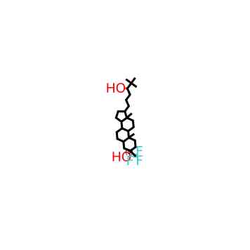 CC(C)(C)C(O)CCCC1CCC2C3CCC4C[C@](O)(C(F)(F)F)CCC4(C)C3CCC12C